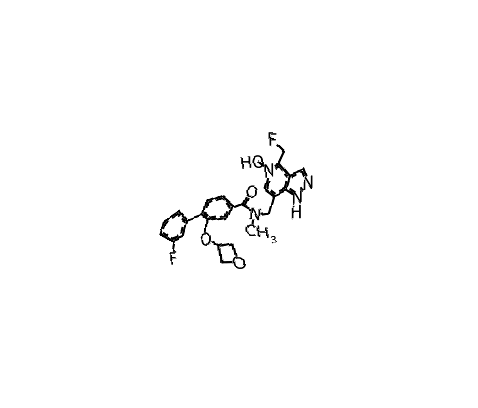 CN(Cc1c[n+](O)c(CF)c2cn[nH]c12)C(=O)c1ccc(-c2cccc(F)c2)c(OC2COC2)c1